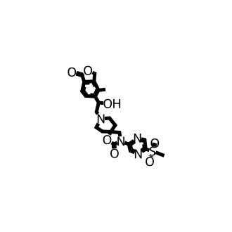 Cc1c(C(O)CN2CCC3(CC2)CN(c2cnc(S(C)(=O)=O)cn2)C(=O)O3)ccc2c1COC2=O